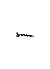 CC/C=C/CC/C=C/CC[C@@H]1COC1=O